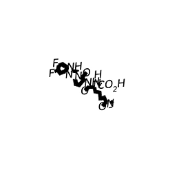 CN(C)C(=O)/C=C/CCC(NC(=O)O)C(=O)Nc1cccn(Cc2nc3cc(F)c(F)cc3[nH]2)c1=O